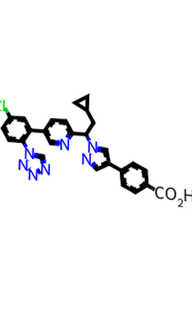 O=C(O)c1ccc(-c2cnn(C(CC3CC3)c3ccc(-c4cc(Cl)ccc4-n4cnnn4)cn3)c2)cc1